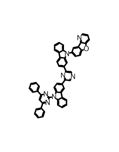 c1ccc(-c2cc(-c3ccccc3)nc(-n3c4ccccc4c4cc(-c5cncc(-c6ccc7c8ccccc8n(-c8ccc9oc%10cccnc%10c9c8)c7c6)n5)ccc43)n2)cc1